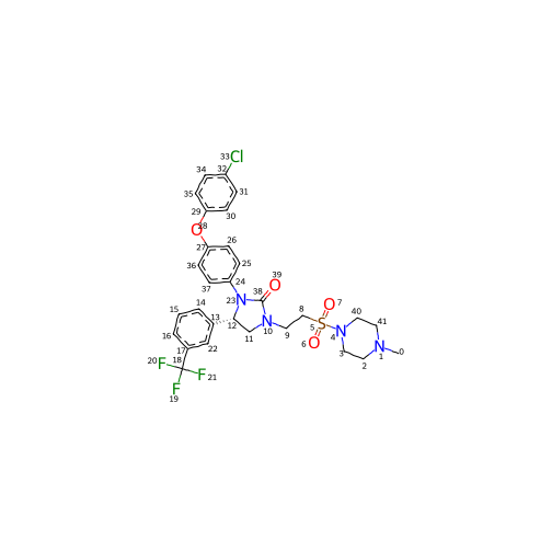 CN1CCN(S(=O)(=O)CCN2C[C@H](c3cccc(C(F)(F)F)c3)N(c3ccc(Oc4ccc(Cl)cc4)cc3)C2=O)CC1